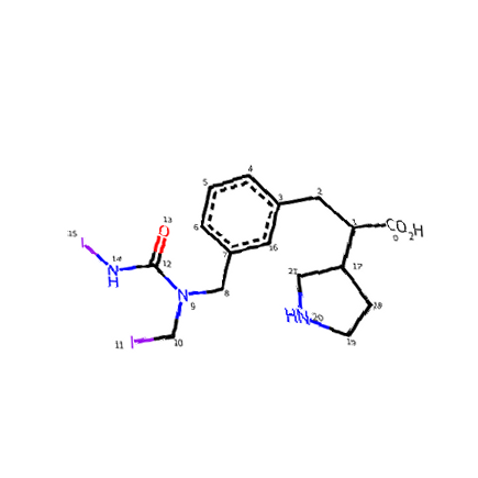 O=C(O)C(Cc1cccc(CN(CI)C(=O)NI)c1)C1CCNC1